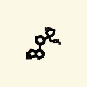 CCC1(c2cccc(-c3ccnc4[nH]ncc34)c2)CCNC1